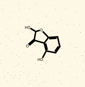 O=C1c2c(O)cccc2OC1O